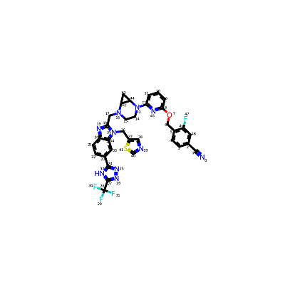 N#Cc1ccc(COc2cccc(N3CCN(Cc4nc5ccc(-c6nnc(C(F)(F)F)[nH]6)cc5n4Cc4cncs4)C4CC43)n2)c(F)c1